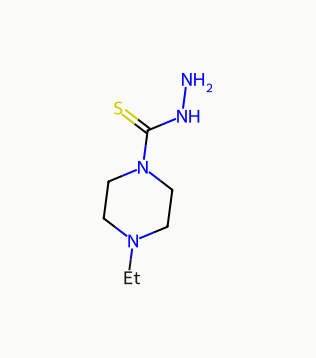 CCN1CCN(C(=S)NN)CC1